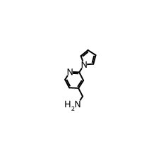 NCc1ccnc(-n2cccc2)c1